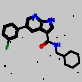 O=C(NCC1CCCCC1)c1c[nH]c2ncc(-c3cccc(F)c3)cc12